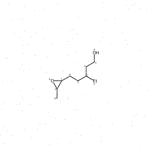 CCC(CCO)CCC1OC1C